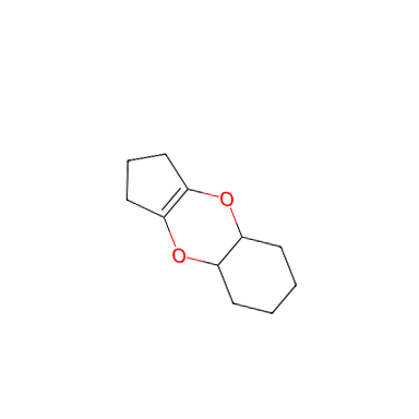 C1CC2=C(C1)OC1CCCCC1O2